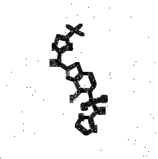 CC(C)(C)c1csc(NC2Cc3ccc(S(=O)(=O)Nc4nccs4)c(F)c3C2)n1